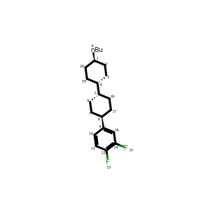 CCCC[C@H]1CC[C@H]([C@H]2CC[C@H](c3ccc(F)c(F)c3)CC2)CC1